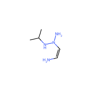 CC(C)NN(N)/C=C\N